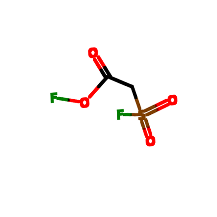 O=C(CS(=O)(=O)F)OF